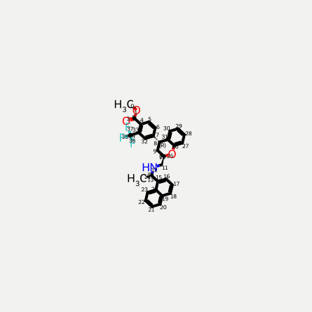 COC(=O)c1ccc([C@H]2C[C@H](CN[C@H](C)c3cccc4ccccc34)Oc3ccccc32)cc1C(F)(F)F